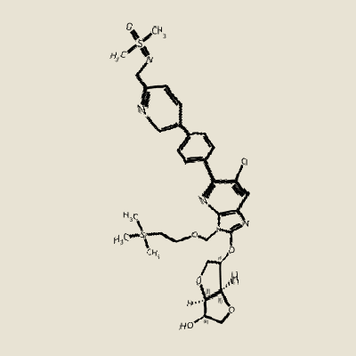 C[Si](C)(C)CCOCn1c(O[C@@H]2CO[C@H]3[C@@H]2OC[C@H]3O)nc2cc(Cl)c(-c3ccc(-c4ccc(CN=S(C)(C)=O)nc4)cc3)nc21